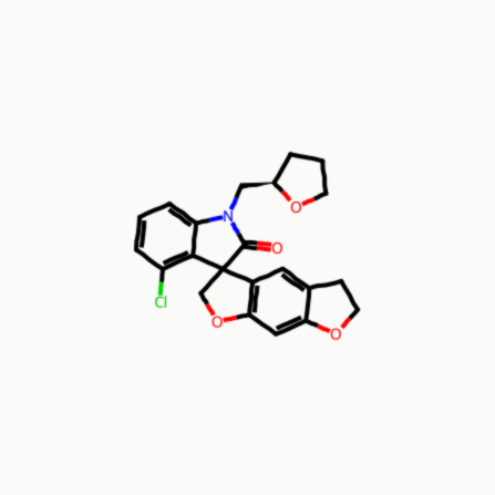 O=C1N(C[C@H]2CCCO2)c2cccc(Cl)c2C12COc1cc3c(cc12)CCO3